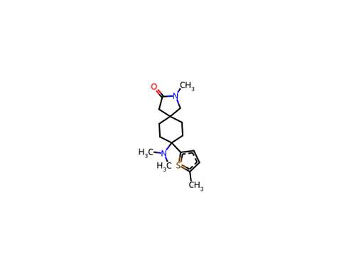 Cc1ccc(C2(N(C)C)CCC3(CC2)CC(=O)N(C)C3)s1